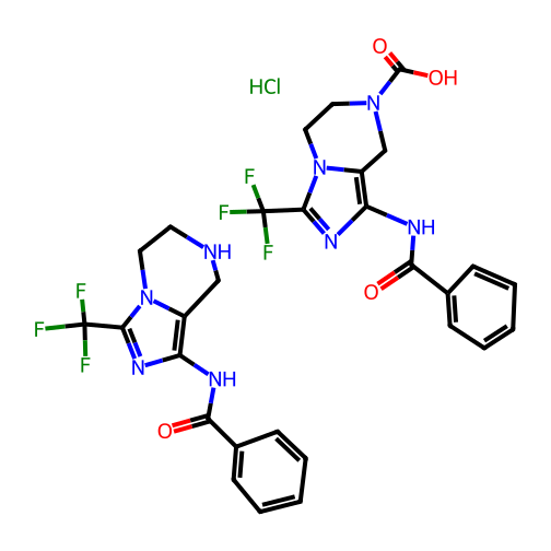 Cl.O=C(Nc1nc(C(F)(F)F)n2c1CN(C(=O)O)CC2)c1ccccc1.O=C(Nc1nc(C(F)(F)F)n2c1CNCC2)c1ccccc1